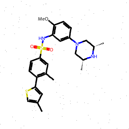 COc1ccc(N2C[C@@H](C)N[C@@H](C)C2)cc1NS(=O)(=O)c1ccc(-c2cc(C)cs2)c(C)c1